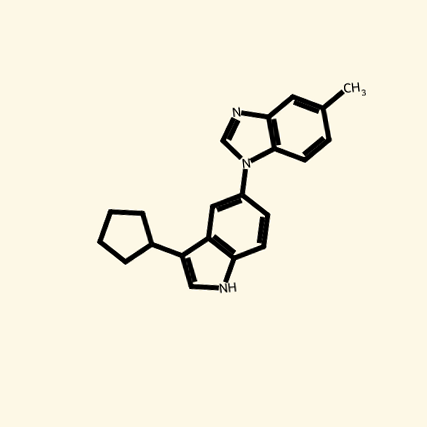 Cc1ccc2c(c1)ncn2-c1ccc2[nH]cc(C3CCCC3)c2c1